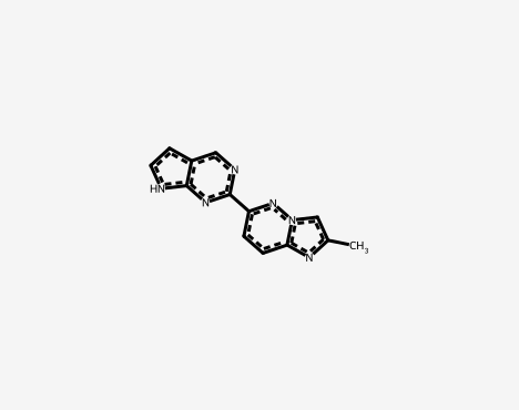 Cc1cn2nc(-c3ncc4cc[nH]c4n3)ccc2n1